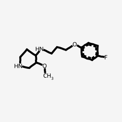 COC1CNCCC1NCCCOc1ccc(F)cc1